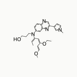 C\C=C(/C=C(\C=C\OC)OCC)N(CCCO)c1ccc2ncc(-c3ccn(C)c3)nc2c1